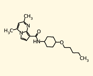 CCCCCOC1CCC(NC(=O)c2ccn3c(C)cc(C)nc23)CC1